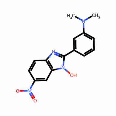 CN(C)c1cccc(-c2nc3ccc([N+](=O)[O-])cc3n2O)c1